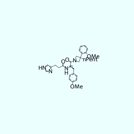 CCCCCC1(c2ccccc2OC)CN(C(=O)[C@@H](Cc2ccc(OC)cc2)NC(=O)CCc2c[nH]cn2)C1